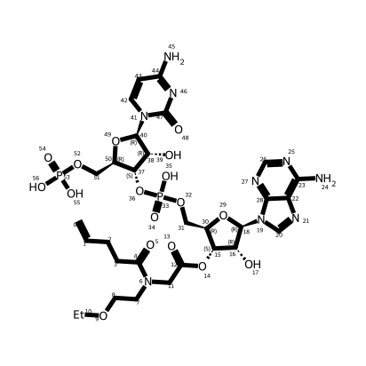 C=CCCC(=O)N(CCOCC)CC(=O)O[C@H]1[C@@H](O)[C@H](n2cnc3c(N)ncnc32)O[C@@H]1COP(=O)(O)O[C@H]1[C@@H](O)[C@H](n2ccc(N)nc2=O)O[C@@H]1COP(=O)(O)O